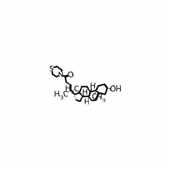 C[C@H](CCC(=O)N1CCSCC1)[C@H]1CC[C@H]2[C@@H]3CC=C4C[C@@H](O)CC[C@]4(C)[C@H]3CC[C@]12C